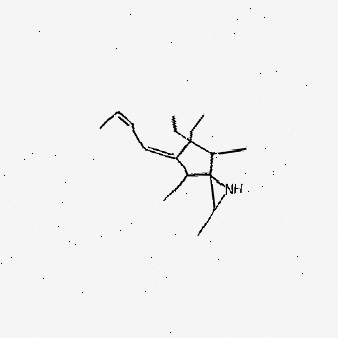 C/C=C\C=C1\C(C)C2(NC2C)C(C)C1(C)C